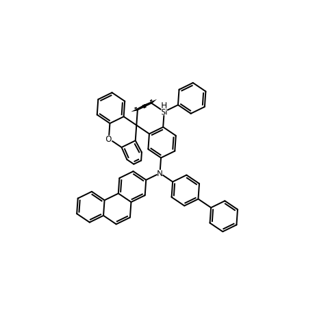 c1ccc(-c2ccc(N(c3ccc4c(c3)C3(c5ccccc5Oc5ccccc53)c3ccccc3[SiH]4c3ccccc3)c3ccc4c(ccc5ccccc54)c3)cc2)cc1